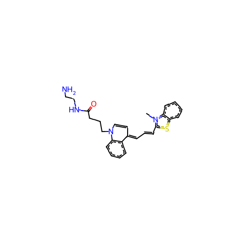 C[n+]1c(/C=C/C=C2\C=CN(CCCC(=O)NCCN)c3ccccc32)sc2ccccc21